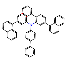 c1ccc(-c2ccc(N(c3cccc(-c4cccc5ccccc45)c3)c3cc(-c4cccc5ccccc45)ccc3-c3ccccc3)cc2)cc1